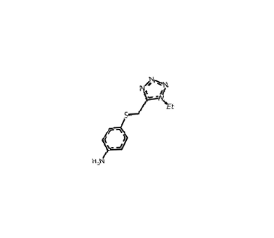 CCn1nnnc1CSc1ccc(N)cc1